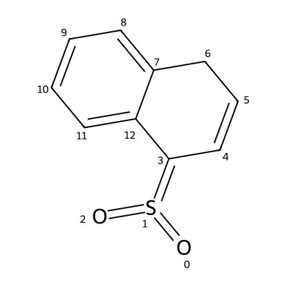 O=S(=O)=C1C=CCc2ccccc21